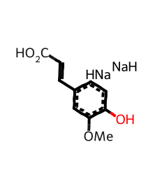 COc1cc(C=CC(=O)O)ccc1O.[NaH].[NaH]